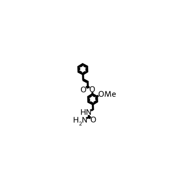 COc1cc(CNC(N)=O)ccc1OC(=O)/C=C/c1ccccc1